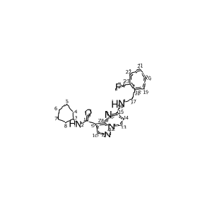 O=C(NC1CCCCC1)c1cnn2ccc(NCc3ccccc3F)nc12